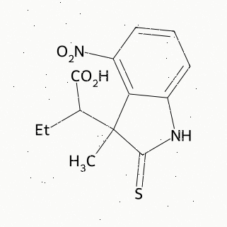 CCC(C(=O)O)C1(C)C(=S)Nc2cccc([N+](=O)[O-])c21